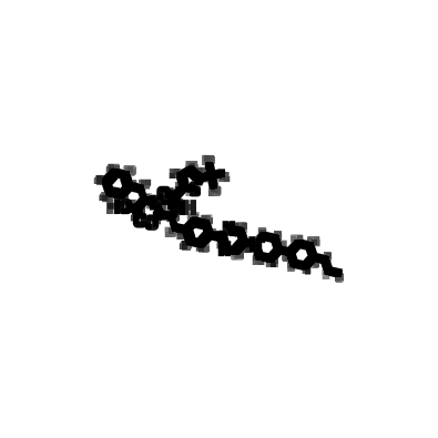 CCCC1CCC(C2CCN(c3cnc(-c4ccc(C[C@H](NC(=O)c5ccc(C(C)(C)C)s5)C(=O)N[C@H](Cc5ccccc5)C(=O)O)cc4)nc3)CC2)CC1